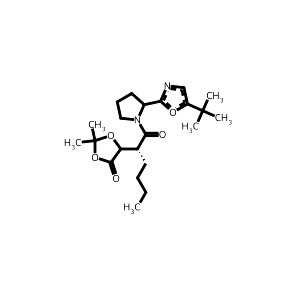 CCCC[C@@H](C(=O)N1CCCC1c1ncc(C(C)(C)C)o1)C1OC(C)(C)OC1=O